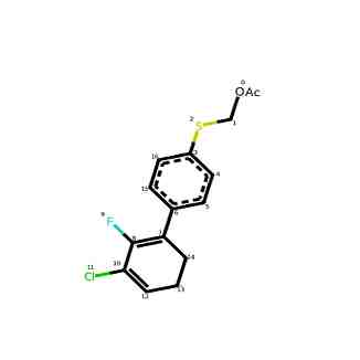 CC(=O)OCSc1ccc(C2=C(F)C(Cl)=C[CH]C2)cc1